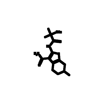 CC(=O)OC(C)(C)C(=O)Nc1sc2c(c1C(N)=O)CCC(C)C2